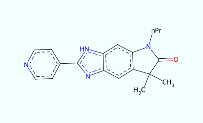 CCCN1C(=O)C(C)(C)c2cc3nc(-c4ccncc4)[nH]c3cc21